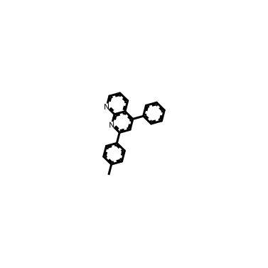 Cc1ccc(-c2cc(-c3ccccc3)c3cccnc3n2)cc1